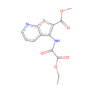 CCOC(=O)C(=O)Nc1c(C(=O)OC)sc2ncccc12